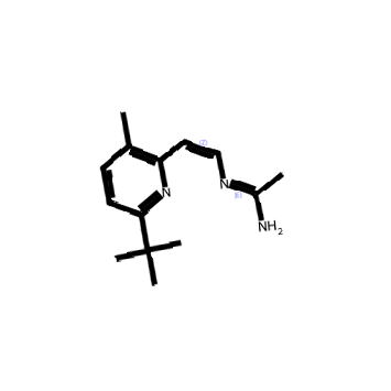 C/C(N)=N\C=C/c1nc(C(C)(C)C)ccc1C